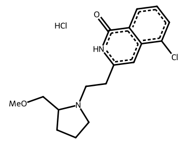 COCC1CCCN1CCc1cc2c(Cl)cccc2c(=O)[nH]1.Cl